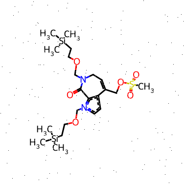 C[Si](C)(C)CCOCN1CC=C(COS(C)(=O)=O)c2ccn(COCC[Si](C)(C)C)c2C1=O